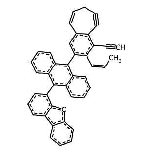 C#Cc1c2c(cc(-c3c4ccccc4c(-c4cccc5c4oc4ccccc45)c4ccccc34)c1/C=C\C)C=CCC#C2